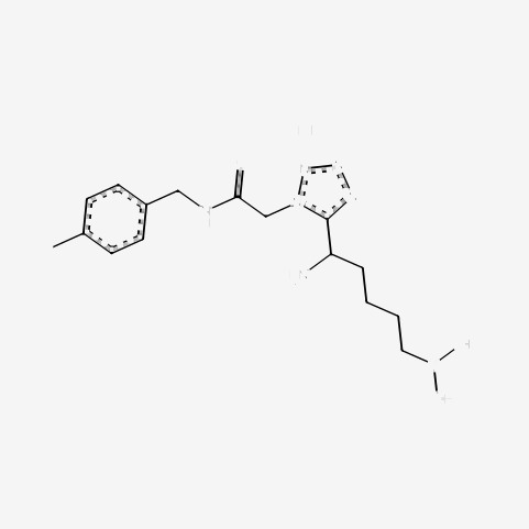 Cc1ccc(CNC(=O)Cn2nnnc2C(N)CCCCB(O)O)cc1.Cl